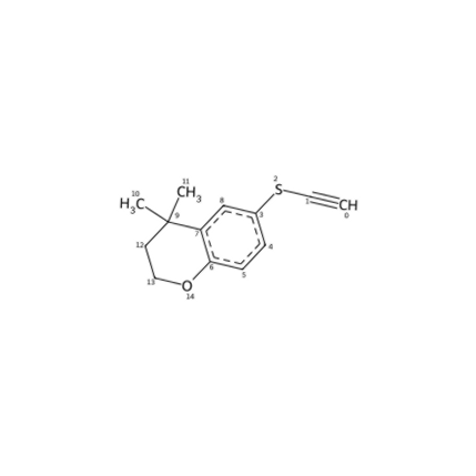 C#CSc1ccc2c(c1)C(C)(C)CCO2